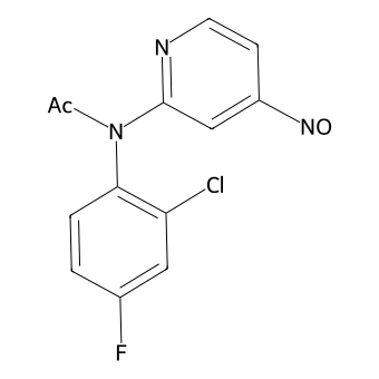 CC(=O)N(c1cc(N=O)ccn1)c1ccc(F)cc1Cl